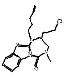 CCCCN1c2nc3ccccc3n2C(=O)N(C)CC1CCCl